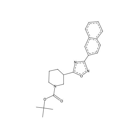 CC(C)(C)OC(=O)N1CCCC(c2nc(-c3ccc4ccccc4c3)no2)C1